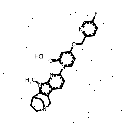 Cl.Cn1c2c(c3ccc(-n4ccc(OCc5ccc(F)cn5)cc4=O)nc31)CN1CCC2CC1